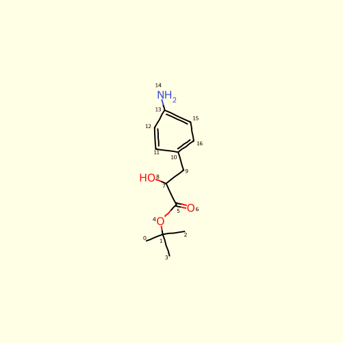 CC(C)(C)OC(=O)C(O)Cc1ccc(N)cc1